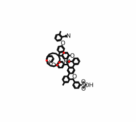 Cc1ccc(-c2ccc(-c3cccc(Oc4ccc(C5(c6ccc(Oc7cccc(C)c7C#N)cc6)CCCCCCCCCCC5)cc4)c3C#N)c(C(=O)c3ccc(Oc4ccccn4)cc3)c2)c(C(=O)c2cccc(S(=O)(=O)O)c2)c1